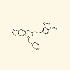 COc1ccc(CCNCc2cc3c(cc2OCc2ccccc2)OCO3)cc1OC